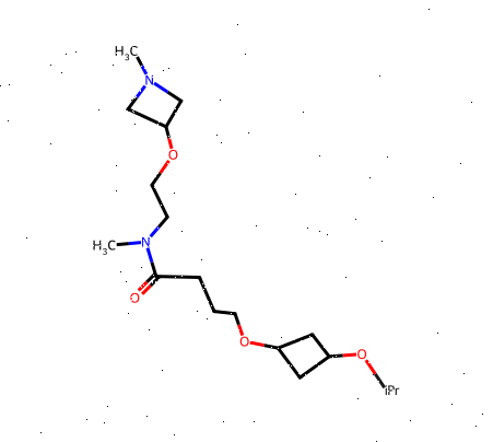 CC(C)OC1CC(OCCCC(=O)N(C)CCOC2CN(C)C2)C1